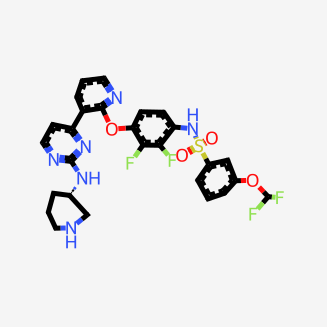 O=S(=O)(Nc1ccc(Oc2ncccc2-c2ccnc(N[C@H]3CCCNC3)n2)c(F)c1F)c1cccc(OC(F)F)c1